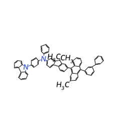 Cc1ccc2c(-c3cccc(-c4ccccc4)c3)c3ccccc3c(-c3ccc4c(c3)C(C)(C)c3cc(N(c5ccccc5)c5ccc(-n6c7ccccc7c7ccccc76)cc5)ccc3-4)c2c1